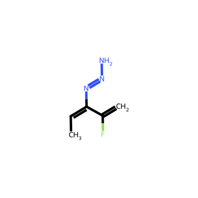 C=C(F)/C(=C\C)N=NN